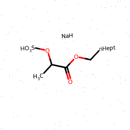 CCCCCCCCOC(=O)C(C)OS(=O)(=O)O.[NaH]